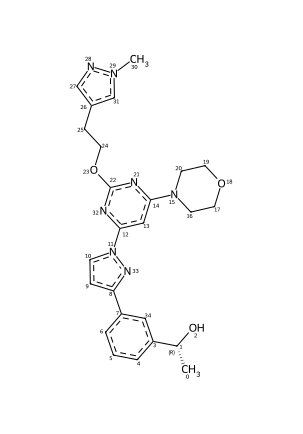 C[C@@H](O)c1cccc(-c2ccn(-c3cc(N4CCOCC4)nc(OCCc4cnn(C)c4)n3)n2)c1